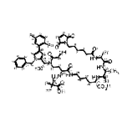 CC(C)[C@H](NC(=O)CCCCCN1C(=O)C=CC1=O)C(=O)N[C@@H](C)C(=O)N[C@@H](CCCCNC(=O)[C@@H](N)CCN(C(=O)CO)[C@@H](c1nc(-c2cc(F)ccc2F)cn1Cc1ccccc1)C(C)(C)C)C(=O)O.O=C(O)C(F)(F)F